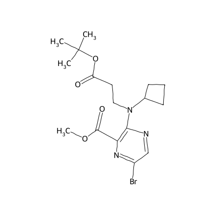 COC(=O)c1nc(Br)cnc1N(CCC(=O)OC(C)(C)C)C1CCC1